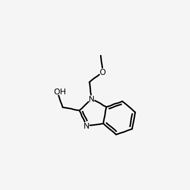 COCn1c(CO)nc2ccccc21